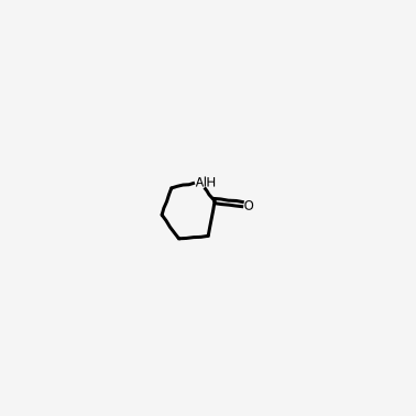 O=[C]1CCC[CH2][AlH]1